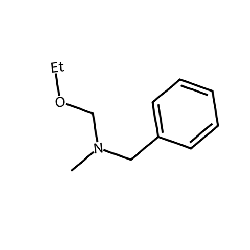 [CH2]COCN(C)Cc1ccccc1